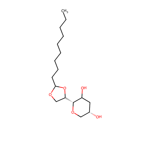 CCCCCCCCCC1OCC([C@H]2OC[C@@H](O)CC2O)O1